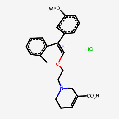 COc1cccc(/C(=C/OCCN2CCC=C(C(=O)O)C2)c2ccccc2C)c1.Cl